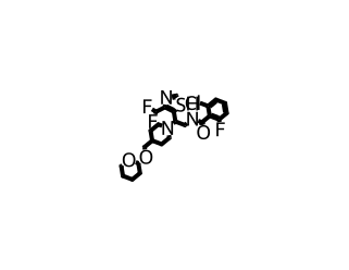 O=C(NCC(c1scnc1C(F)F)N1CCC(COC2CCCCO2)CC1)c1c(F)cccc1Cl